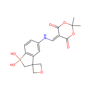 CC1(C)OC(=O)C(=CNc2ccc3c(c2)C2(COC2)CS3(O)O)C(=O)O1